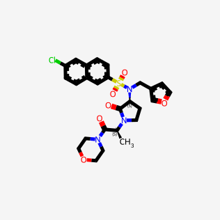 C[C@@H](C(=O)N1CCOCC1)N1CC[C@H](N(Cc2ccoc2)S(=O)(=O)c2ccc3cc(Cl)ccc3c2)C1=O